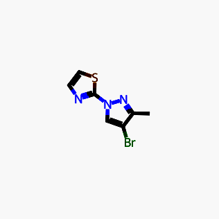 Cc1nn(-c2nccs2)cc1Br